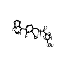 CC(C)(C)c1noc(C(=O)NCc2ccc(-c3ncnn4cccc34)c(F)c2C2CC2)n1